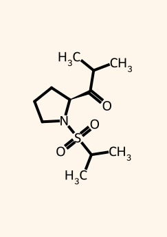 CC(C)C(=O)[C@@H]1CCCN1S(=O)(=O)C(C)C